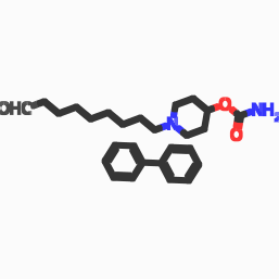 NC(=O)OC1CCN(CCCCCCCCC=O)CC1.c1ccc(-c2ccccc2)cc1